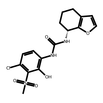 CS(=O)(=O)c1c(Cl)ccc(NC(=O)N[C@@H]2CCCc3ccoc32)c1O